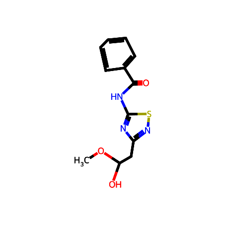 COC(O)Cc1nsc(NC(=O)c2ccccc2)n1